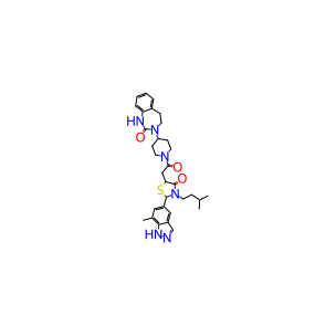 Cc1cc(C2SC(CC(=O)N3CCC(N4CCc5ccccc5NC4=O)CC3)C(=O)N2CCC(C)C)cc2cn[nH]c12